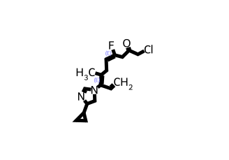 C=C/C(=C(/C)C/C=C(/F)CC(=O)CCl)N1C=NC(C2CC2)C1